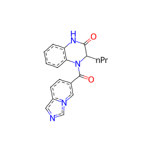 CCCC1C(=O)Nc2ccccc2N1C(=O)c1ccc2cncn2c1